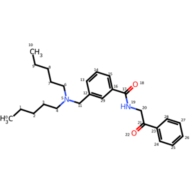 CCCCCN(CCCCC)Cc1cccc(C(=O)NCC(=O)c2ccccc2)c1